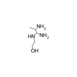 CC(N)C(N)NCCO